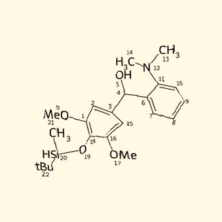 COc1cc(C(O)c2ccccc2N(C)C)cc(OC)c1O[SiH](C)C(C)(C)C